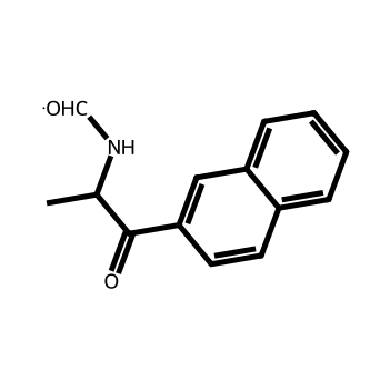 CC(N[C]=O)C(=O)c1ccc2ccccc2c1